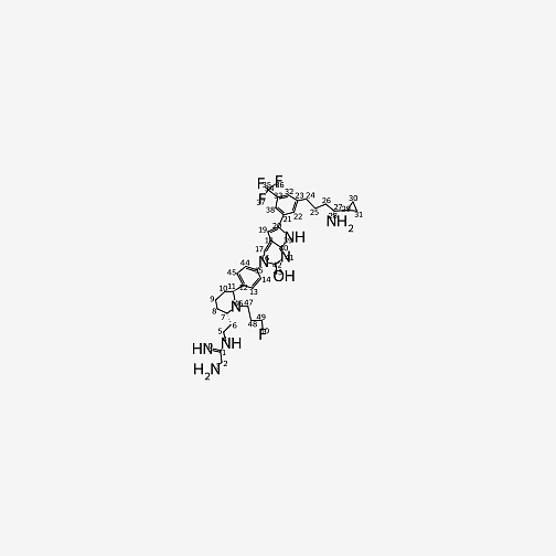 N=C(CN)NCC[C@@H]1CCC[C@@H](c2ccc(N3C=c4cc(-c5cc(CCC[C@@H](N)C6CC6)cc(C(F)(F)F)c5)[nH]c4=NC3O)cc2)N1CCCF